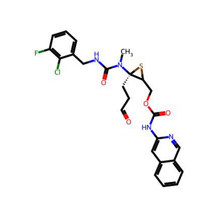 CN(C(=O)NCc1cccc(F)c1Cl)[C@@]1(CCC=O)SC1COC(=O)Nc1cc2ccccc2cn1